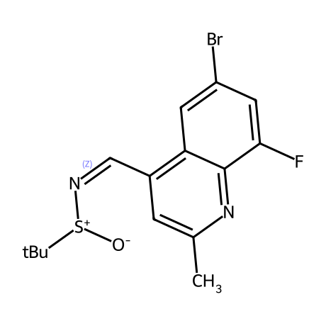 Cc1cc(/C=N\[S+]([O-])C(C)(C)C)c2cc(Br)cc(F)c2n1